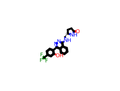 O=C1CC[C@@H](CNc2nnc(-c3ccc(C(F)(F)F)cc3O)c3ccccc23)N1